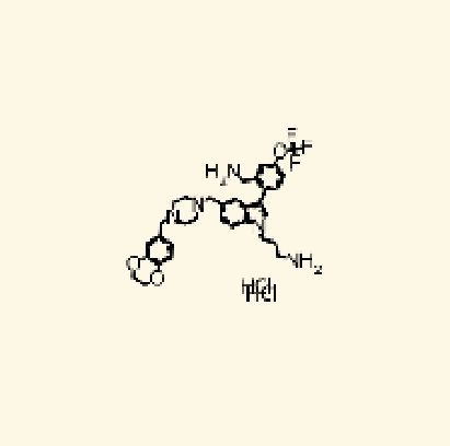 Cl.Cl.NCCCn1cc(-c2ccc(OC(F)(F)F)cc2CN)c2cc(CN3CCN(Cc4ccc5c(c4)OCCO5)CC3)ccc21